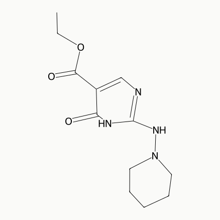 CCOC(=O)c1cnc(NN2CCCCC2)[nH]c1=O